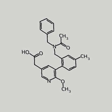 COc1ncc(CC(=O)O)cc1-c1ccc(C)cc1CN(Cc1ccccc1)C(C)=O